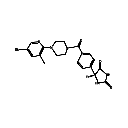 CCc1cnc(N2CCN(C(=O)c3ccc([C@@]4(CC)NC(=O)NC4=O)cc3)CC2)c(C)c1